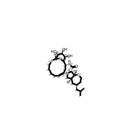 CC(C)C[C@@H]1CCO[C@@H]2[C@H](CN[C@@H]2C(=O)N[C@H]2[C@H]3O[C@H](SCCCCC=C[C@H]2C)[C@H](O)[C@@H](O)[C@H]3O)C1